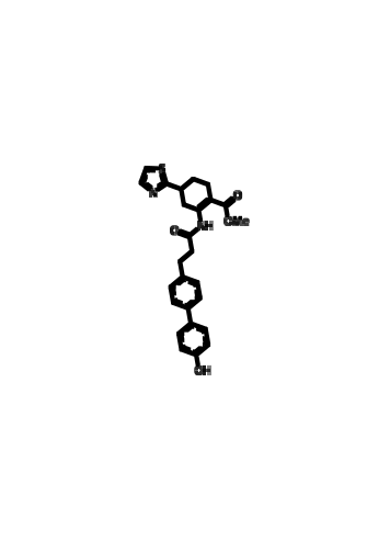 COC(=O)C1=C(NC(=O)CCc2ccc(-c3ccc(O)cc3)cc2)CC(c2nccs2)CC1